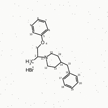 Br.CC(COc1ccccc1)N1CCC(Cc2ccccc2)CC1